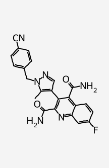 Cc1c(-c2c(C(N)=O)nc3cc(F)ccc3c2C(N)=O)cnn1Cc1ccc(C#N)cc1